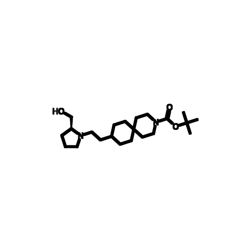 CC(C)(C)OC(=O)N1CCC2(CCC(CCN3CCC[C@H]3CO)CC2)CC1